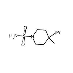 CC(C)C1(C)CCN(S(N)(=O)=O)CC1